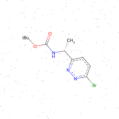 C[C@@H](NC(=O)OC(C)(C)C)c1ccc(Br)nn1